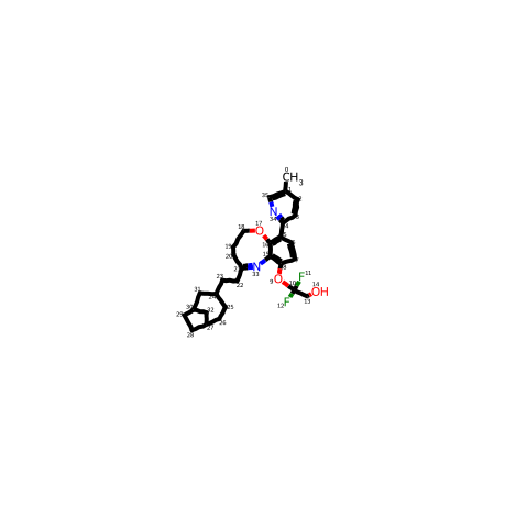 Cc1ccc(-c2ccc(OC(F)(F)CO)c3c2OCCC/C(CCC2CCC4CCC(C2)C4)=N\3)nc1